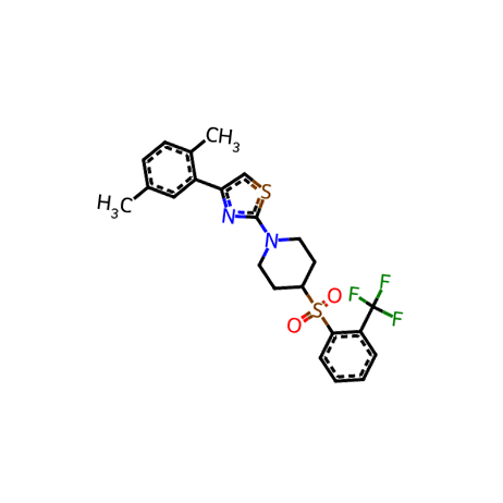 Cc1ccc(C)c(-c2csc(N3CCC(S(=O)(=O)c4ccccc4C(F)(F)F)CC3)n2)c1